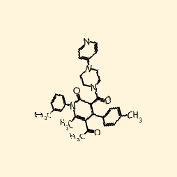 CC(=O)C1=C(C)N(c2cccc(C)c2)C(=O)C(C(=O)N2CCN(c3ccncc3)CC2)C1c1ccc(C)cc1